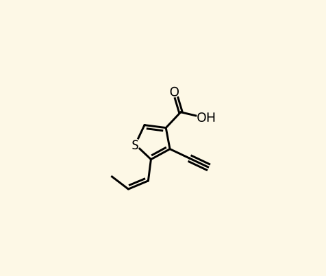 C#Cc1c(C(=O)O)csc1/C=C\C